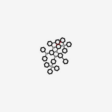 c1ccc(-c2ccc3c(c2)N(c2ccc([Si](c4ccccc4)(c4ccccc4)c4ccccc4)cc2)c2cc(N(c4ccccc4)c4ccccc4)cc4c2B3c2cc([Si](c3ccccc3)(c3ccccc3)c3ccccc3)ccc2N4c2ccccc2-c2ccccc2)cc1